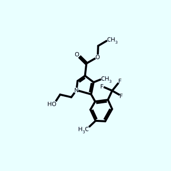 CCOC(=O)c1cn(CCO)c(-c2cc(C)ccc2C(F)(F)F)c1C